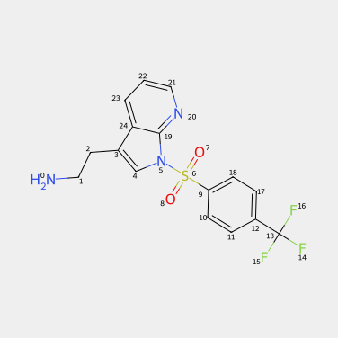 NCCc1cn(S(=O)(=O)c2ccc(C(F)(F)F)cc2)c2ncccc12